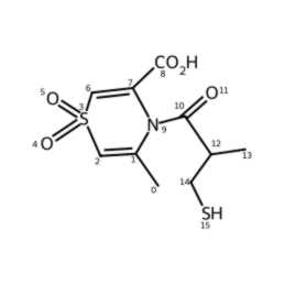 CC1=CS(=O)(=O)C=C(C(=O)O)N1C(=O)C(C)CS